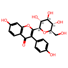 O=c1c(-c2ccc(O)cc2)c([C@@H]2O[C@H](CO)[C@@H](O)[C@H](O)[C@H]2O)oc2cc(O)ccc12